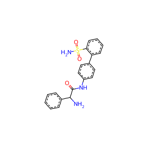 NC(C(=O)Nc1ccc(-c2ccccc2S(N)(=O)=O)cc1)c1ccccc1